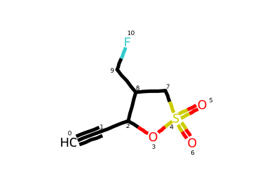 C#CC1OS(=O)(=O)CC1CF